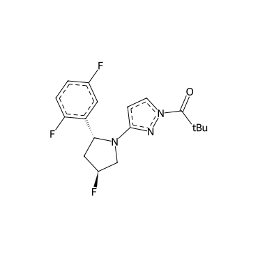 CC(C)(C)C(=O)n1ccc(N2C[C@@H](F)C[C@@H]2c2cc(F)ccc2F)n1